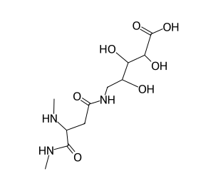 CNC(=O)C(CC(=O)NCC(O)C(O)C(O)C(=O)O)NC